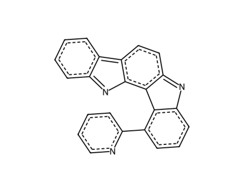 c1ccc(-c2cccc3c2-c2c4c(ccc2=N3)=c2ccccc2=N4)nc1